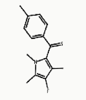 Cc1ccc(C(=S)c2c(C)c(F)c(C)n2C)cc1